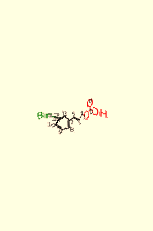 O=C(O)OCC=Cc1cccc(Br)c1